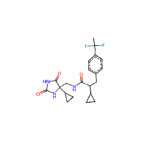 CC(F)(F)c1ccc(CC(C(=O)NCC2(C3CC3)NC(=O)NC2=O)C2CC2)cc1